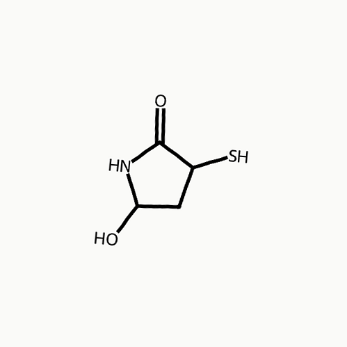 O=C1NC(O)CC1S